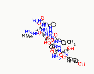 CNC(=N)NCCC[C@H](NC(=O)[C@H](CC(C)C)NC(=O)NNC(=O)[C@H](Cc1cccc(C)c1)NC(=O)[C@@H](NC(=O)[C@H](CC(N)=O)NC(=O)[C@@H]1C[C@@H](O)CN1C(=O)[C@@H](Cc1ccc(O)cc1)NC(C)=O)[C@@H](C)O)C(=O)N[C@@H](Cc1c[nH]c2ccccc12)C(N)=O